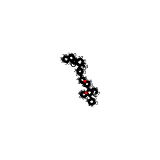 c1ccc(-c2c3ccccc3c(-c3ccc4cc(-c5ccc6c(c5)sc5ccc7c8ccc9ccccc9c8oc7c56)ccc4c3)c3ccccc23)cc1